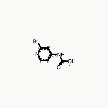 O=C(O)Nc1ccnc(Br)c1